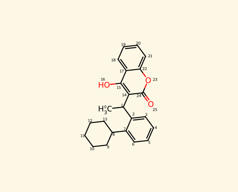 CC(c1ccccc1C1CCCCC1)c1c(O)c2ccccc2oc1=O